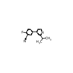 CC(C)c1cc(-c2ccc(F)c(C#N)c2)ccn1